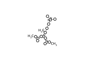 Cc1ccc2c(c1)c1ccccc1n2-c1ccc2c(c1)c1cc(-n3c4ccccc4c4cc(C)ccc43)ccc1n2-c1ccc(-c2ccc(-c3ccc(-c4cc(-c5ccccc5)nc(-c5ccccc5)n4)cc3)cc2)c(C)c1